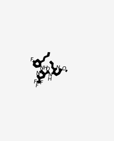 C=CCCc1cc(F)ccc1Nc1ncc(C(F)(F)F)cc1C(=O)Nc1ccc(OC)nc1CC=C